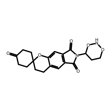 O=C1CCC2(CC1)CCc1cc3c(cc1O2)C(=O)N(C1CCONO1)C3=O